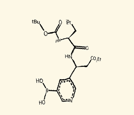 CCOC(=O)C[C@H](NC(=O)[C@H](CC(C)C)NC(=O)OC(C)(C)C)c1cncc(B(O)O)c1